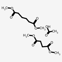 CC(=O)O.COC(=O)CCC(=O)OC.COC(=O)CCCCC(=O)OC